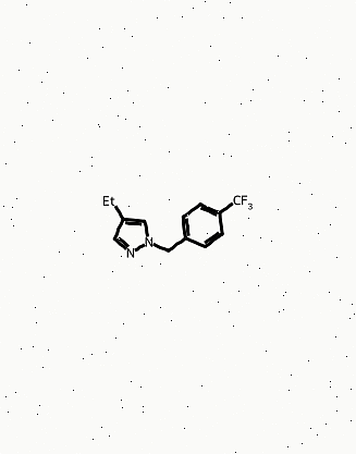 CCc1cnn(Cc2ccc(C(F)(F)F)cc2)c1